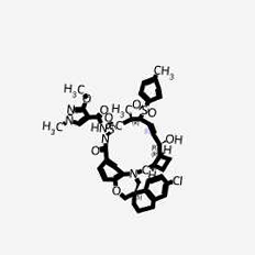 COc1nn(C)cc1C(=O)N[S@@]1(=O)=NC(=O)c2ccc3c(c2)N(C[C@@H]2CC[C@H]2[C@@H](O)/C=C/C(S(=O)(=O)c2ccc(C)cc2)[C@H](C)C1)C[C@@]1(CCCc2cc(Cl)ccc21)CO3